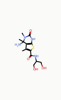 Cc1c(C(=O)NC(CO)CO)sc2c1C(C)(N)N(C)C(=O)N2